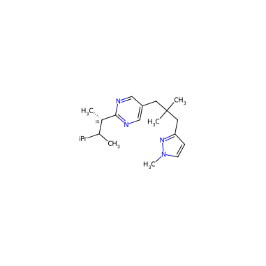 CC(C)C(C)[C@H](C)c1ncc(CC(C)(C)Cc2ccn(C)n2)cn1